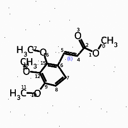 COC(=O)/C=C/c1ccc(OC)c(OC)c1OC